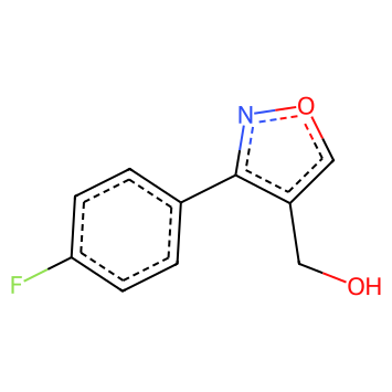 OCc1conc1-c1ccc(F)cc1